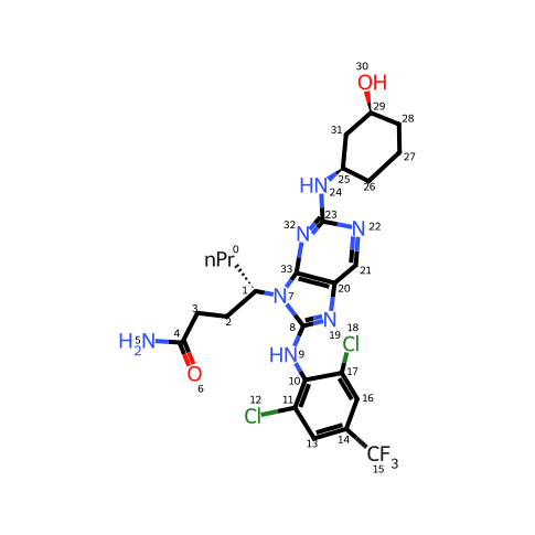 CCC[C@@H](CCC(N)=O)n1c(Nc2c(Cl)cc(C(F)(F)F)cc2Cl)nc2cnc(N[C@@H]3CCC[C@H](O)C3)nc21